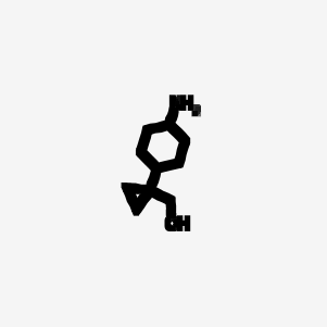 NC1CCC(C2(CO)CC2)CC1